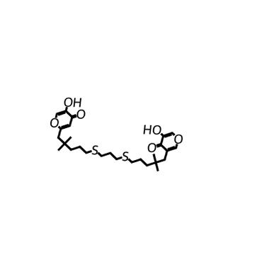 CC(C)(CCCSCCCSCCCC(C)(C)Cc1cocc(O)c1=O)Cc1cc(=O)c(O)co1